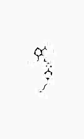 CNCCNc1ncc(S(=O)(=O)NC(=O)Nc2c(C(C)C)cccc2C(C)C)cn1